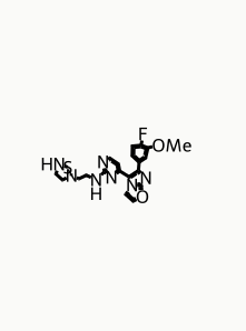 COc1cc(-c2nc3occn3c2-c2ccnc(NCCN3CCNS3)n2)ccc1F